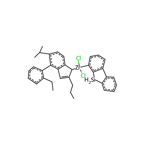 CCCC1=Cc2c(ccc(C(C)C)c2-c2ccccc2CC)[CH]1[Zr]([Cl])([Cl])[c]1cccc2c1[SiH2]c1ccccc1-2